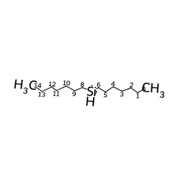 CCCCCCC[SiH]CCCCCCC